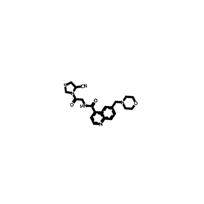 N#CC1CSCN1C(=O)CNC(=O)c1ccnc2ccc(CN3CCOCC3)cc12